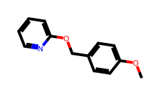 COc1ccc(COc2ccccn2)cc1